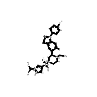 Cc1cc2c(cnn2-c2ccc(F)cc2)cc1C1CN(S(=O)(=O)c2cnn(C(F)F)c2)CCN1CC(C)C